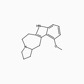 COc1cccc2[nH]c3c(c12)CC1CCCN1CC3